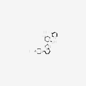 Cc1cccnc1[C@@H]1C[C@@H](F)C[C@H](C2CN3C(N4CCN(C)CC4)=CC=CC3=N2)N1C